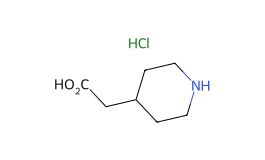 Cl.O=C(O)CC1CCNCC1